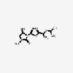 CC(C)OC(C)c1nnc(N2C(=O)N(C)CC2O)s1